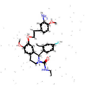 CCNC(=O)N1CCc2cc(OC)c(OCCc3ccc(OC)c(N)c3)cc2C1c1ccc(F)cc1C